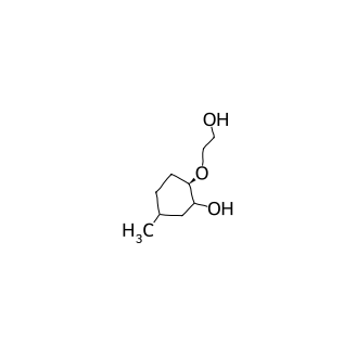 CC1CC[C@@H](OCCO)C(O)C1